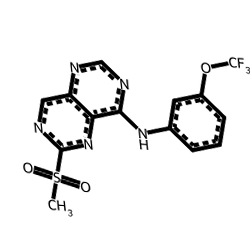 CS(=O)(=O)c1ncc2ncnc(Nc3cccc(OC(F)(F)F)c3)c2n1